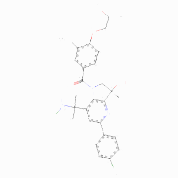 COc1cc(C(=O)NC[C@](O)(c2cc(C(C)(C)NCl)cc(-c3ccc(F)cc3)n2)C(F)(F)F)ccc1OC[C@@H](C)O